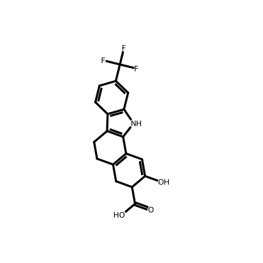 O=C(O)C1CC2=C(C=C1O)c1[nH]c3cc(C(F)(F)F)ccc3c1CC2